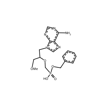 COCC(Cn1cnc2c(N)ncnc21)OCP(=O)(O)OCc1ccccc1